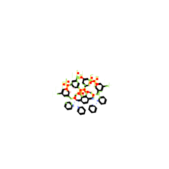 FC(F)(F)c1cc(C(F)(F)F)c(B(c2c(C(F)(F)F)cc(C(F)(F)F)cc2C(F)(F)F)c2cc(N(c3ccccc3)c3ccccc3)c3ccc4c(N(c5ccccc5)c5ccccc5)cc(B(c5c(C(F)(F)F)cc(C(F)(F)F)cc5C(F)(F)F)c5c(C(F)(F)F)cc(C(F)(F)F)cc5C(F)(F)F)c5ccc2c3c54)c(C(F)(F)F)c1